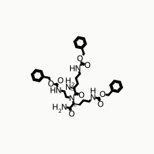 NC(=O)[C@H](CCCNC(=O)OCc1ccccc1)N(CCNC(=O)OCc1ccccc1)C(=O)[C@@H](N)CCCNC(=O)OCc1ccccc1